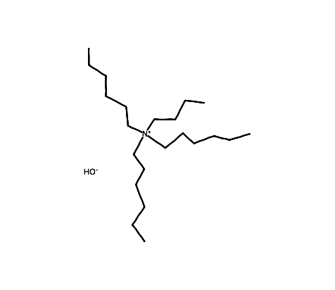 CCCCCC[N+](CCCC)(CCCCCC)CCCCCC.[OH-]